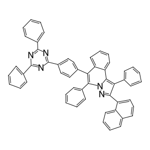 c1ccc(-c2nc(-c3ccccc3)nc(-c3ccc(-c4c(-c5ccccc5)n5nc(-c6cccc7ccccc67)c(-c6ccccc6)c5c5ccccc45)cc3)n2)cc1